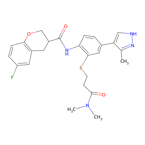 Cc1n[nH]cc1-c1ccc(NC(=O)C2COc3ccc(F)cc3C2)c(SCCC(=O)N(C)C)c1